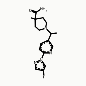 CC(c1ccc(-n2cc(F)cn2)nc1)N1CCC(C)(C(N)=O)CC1